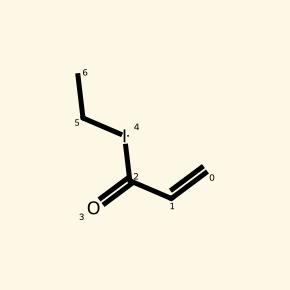 C=CC(=O)[I]CC